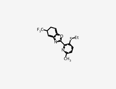 CCSc1ccc(C)nc1-c1nc2c(o1)=CCC(C(F)(F)F)C=2